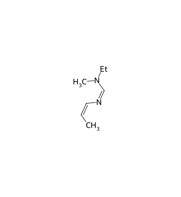 C/C=C\N=C/N(C)CC